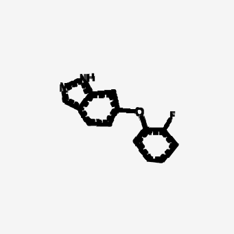 Fc1ccccc1Oc1ccc2cn[nH]c2c1